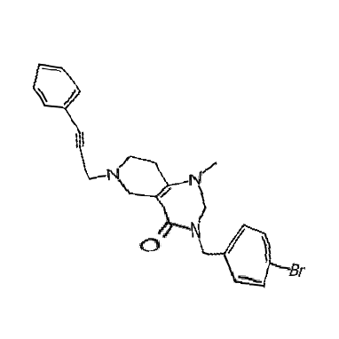 CN1CN(Cc2ccc(Br)cc2)C(=O)C2=C1CCN(CC#Cc1ccccc1)C2